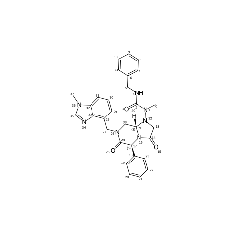 CN(C(=O)NCc1ccccc1)N1CC(=O)N2[C@@H](c3ccccc3)C(=O)N(Cc3cccc4c3ncn4C)C[C@@H]21